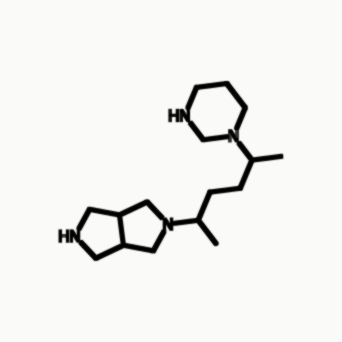 CC(CCC(C)N1CC2CNCC2C1)N1CCCNC1